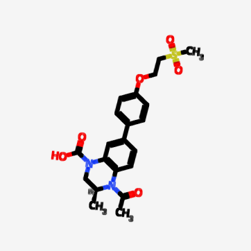 CC(=O)N1c2ccc(-c3ccc(OCCS(C)(=O)=O)cc3)cc2N(C(=O)O)C[C@@H]1C